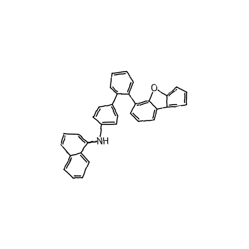 c1ccc(-c2cccc3c2oc2ccccc23)c(-c2ccc(Nc3cccc4ccccc34)cc2)c1